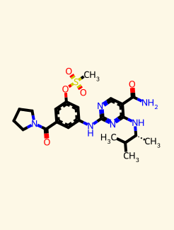 CC(C)[C@@H](C)Nc1nc(Nc2cc(OS(C)(=O)=O)cc(C(=O)N3CCCC3)c2)ncc1C(N)=O